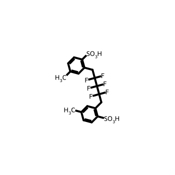 Cc1ccc(S(=O)(=O)O)c(CC(F)(F)C(F)(F)C(F)(F)Cc2cc(C)ccc2S(=O)(=O)O)c1